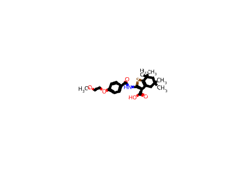 COCCOc1ccc(C(=O)Nc2sc3c(c2C(=O)O)CC(C)(C)CC3(C)C)cc1